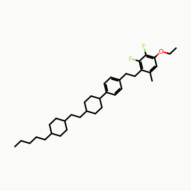 CCCCCC1CCC(CCC2CCC(c3ccc(CCc4c(C)cc(OCC)c(F)c4F)cc3)CC2)CC1